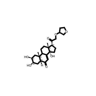 C[C@]12C[C@H](O)[C@H](O)C[C@H]1C(=O)C=C1C2CC[C@]2(C)[C@@H](C(=O)COC3CCOC3)CC[C@@]12O